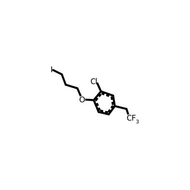 FC(F)(F)Cc1ccc(OCCCI)c(Cl)c1